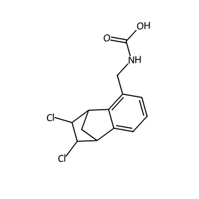 O=C(O)NCc1cccc2c1C1CC2C(Cl)C1Cl